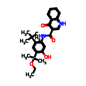 CCO[Si](C)(C)c1cc(C(C)(C)C)c(NC(=O)c2c[nH]c3ccccc3c2=O)cc1O